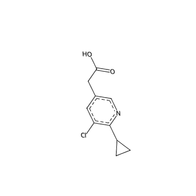 O=C(O)Cc1cnc(C2CC2)c(Cl)c1